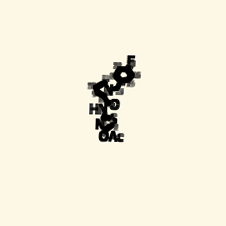 CC(=O)Oc1csc(NC(=O)c2cccn2Cc2ccc(F)cc2)n1